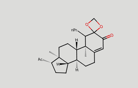 CCCC1C2(OCO2)C(=O)C=C2CC[C@H]3[C@@H]4CC[C@H](C(C)=O)[C@@]4(C)CC[C@@H]3[C@]21C